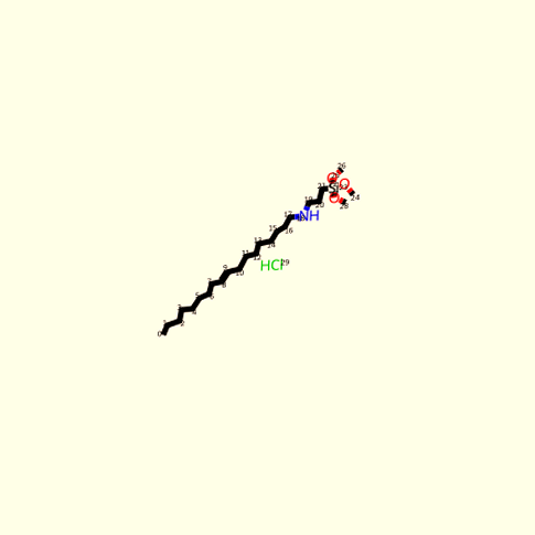 CCCCCCCCC=CCCCCCCCCNCCC[Si](OC)(OC)OC.Cl